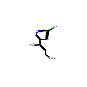 CC(C)(C)C(=CCC(=O)O)c1cncc(F)c1